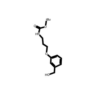 CC(C)(C)OC(=O)NCCCOc1cccc(CO)c1